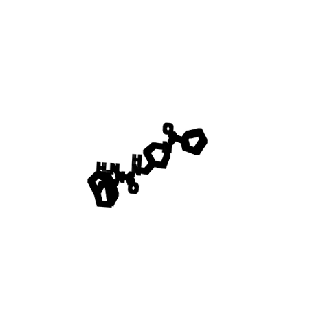 NN(C(=O)NCC1CCN(C(=O)c2ccccc2)CC1)C12CC3CC(CC(C3)C1)C2